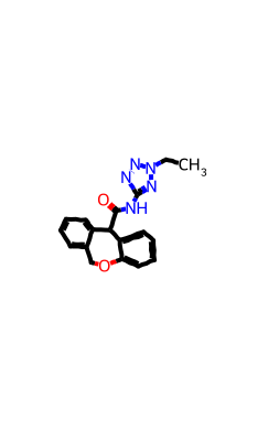 CCn1nnc(NC(=O)C2c3ccccc3COc3ccccc32)n1